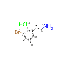 Cc1cc(Br)cc(CCN)c1.Cl